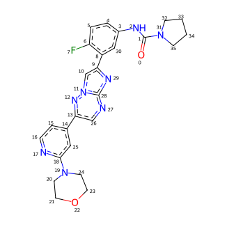 O=C(Nc1ccc(F)c(-c2cn3nc(-c4ccnc(N5CCOCC5)c4)cnc3n2)c1)N1CCCC1